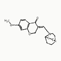 COc1ccc2c(c1)OCC(=CN1CCN3CCC1CC3)C2=O